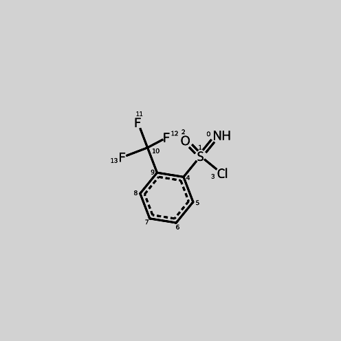 N=S(=O)(Cl)c1ccccc1C(F)(F)F